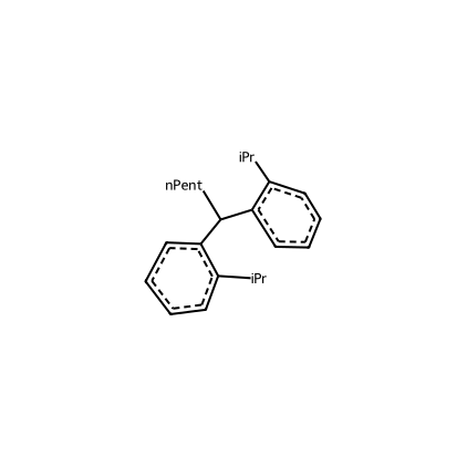 CCCCCC(c1ccccc1C(C)C)c1ccccc1C(C)C